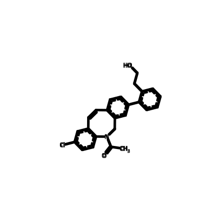 CC(=O)N1Cc2cc(-c3ccccc3CCO)ccc2C=Cc2cc(Cl)ccc21